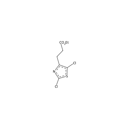 CCOC(=O)CCc1nc(Cl)sc1Cl